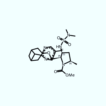 COC(=O)N1[C@H](C)C[C@H](NS(=O)(=O)N(C)C)[C@@H]1COC1CC2CC(C1)C2c1ncc(F)cn1